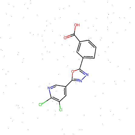 O=C(O)c1cccc(-c2nnc(-c3cnc(Cl)c(Cl)c3)o2)c1